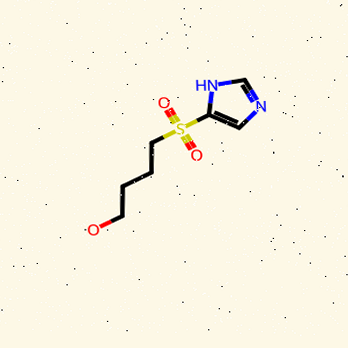 [O]CCCCS(=O)(=O)c1cnc[nH]1